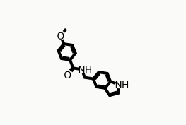 COc1ccc(C(=O)NCc2ccc3[nH]ccc3c2)cc1